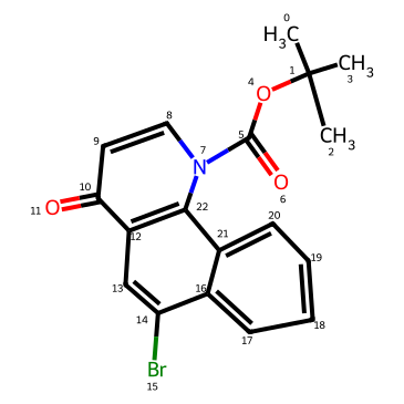 CC(C)(C)OC(=O)n1ccc(=O)c2cc(Br)c3ccccc3c21